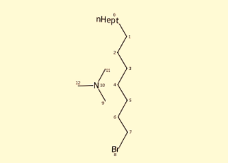 CCCCCCCCCCCCCCBr.CN(C)C